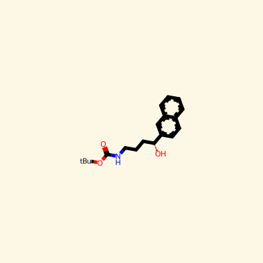 CC(C)(C)OC(=O)NCCC[C@@H](O)c1ccc2ccccc2c1